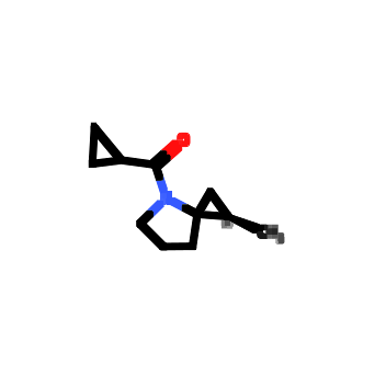 C[C@@H]1CC12CCCN2C(=O)C1CC1